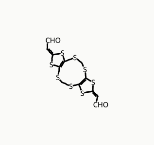 O=CC=C1SC2=C(SCSC3=C(SCS2)SC(=CC=O)S3)S1